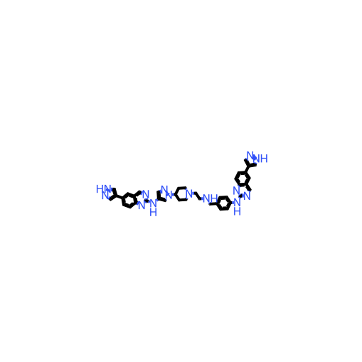 c1cc(Nc2ncc3cc(-c4cn[nH]c4)ccc3n2)ccc1CNCCN1CCC(n2cc(Nc3ncc4cc(-c5cn[nH]c5)ccc4n3)cn2)CC1